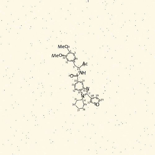 COc1ccc(CC(NC(=O)c2ccc3c(c2)nc(-c2ccoc2)n3C2CCCCC2)C(C)=O)cc1OC